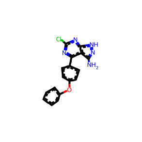 Nc1n[nH]c2nc(Cl)nc(-c3ccc(Oc4ccccc4)cc3)c12